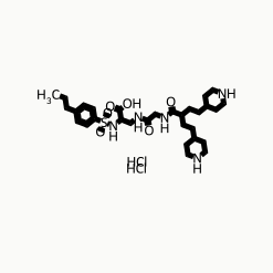 CCCc1ccc(S(=O)(=O)NC(CNC(=O)CNC(=O)C(CCC2CCNCC2)CCC2CCNCC2)C(=O)O)cc1.Cl.Cl